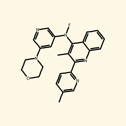 Cc1ccc(-c2nc3ccccc3c(N(F)c3cncc(N4CCOCC4)c3)c2C)nc1